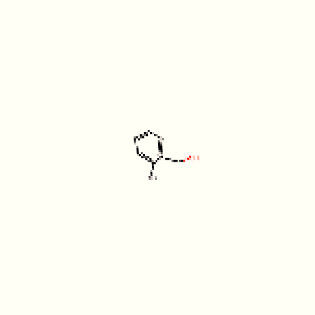 CC(C)(C)c1ccccc1CO